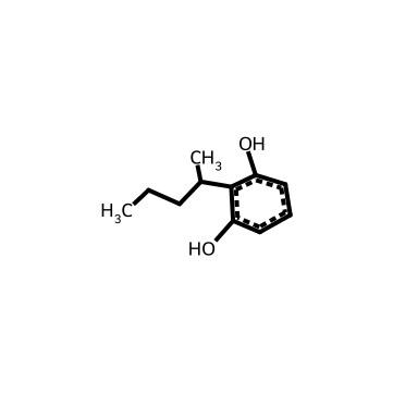 CCCC(C)c1c(O)cccc1O